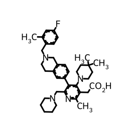 Cc1cc(F)ccc1CN1CCc2cc(-c3c(CN4CCCCC4)nc(C)c(CC(=O)O)c3N3CCC(C)(C)CC3)ccc2C1